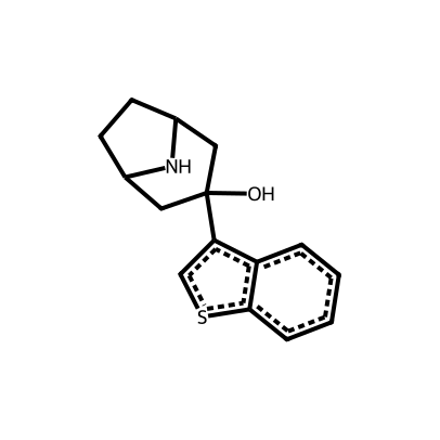 OC1(c2csc3ccccc23)CC2CCC(C1)N2